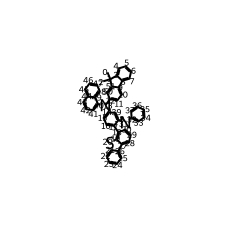 CC1(C)c2ccccc2-c2ccc(N(c3ccc4c5c6sc7ccccc7c6ccc5n(-c5ccccc5)c4c3)c3cccc4ccccc34)cc21